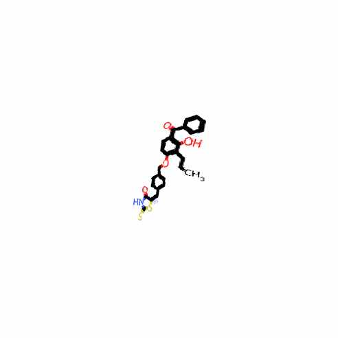 CCCc1c(OCc2ccc(/C=C3/SC(=S)NC3=O)cc2)ccc(C(=O)c2ccccc2)c1O